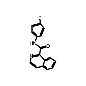 O=C(Nc1ccc(Cl)cc1)c1nccc2ccccc12